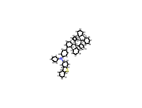 c1ccc(N(c2ccc(-c3cccc4c3-c3ccccc3C43c4ccccc4C4(c5ccccc5-c5ccccc54)c4ccccc43)cc2)c2ccc3sc4ccccc4c3c2)cc1